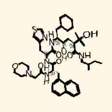 CCC(C)CNC(=O)[C@@H](C[C@H](O)[C@H](CC1CCCCC1)NC(=O)[C@H](Cc1cscn1)NC(=O)[C@H](Cc1cccc2ccccc12)NC(=O)CN1CCOCC1)C(C)(C)O